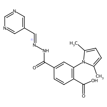 Cc1ccc(C)n1-c1cc(C(=O)N/N=C/c2cncnc2)ccc1C(=O)O